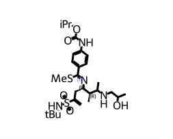 C=C(C[C@@H](/N=C(\SC)c1ccc(NC(=O)OC(C)C)cc1)[C@H](C)C(C)NCC(C)O)S(=O)(=O)NC(C)(C)C